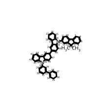 CC1(C)c2ccccc2-c2ccc(-n3c4ccccc4c4cc(C5C=c6c(n(-c7cccc(C8=CCCC=C8)c7)c7ccccc67)=CC5)ccc43)cc21